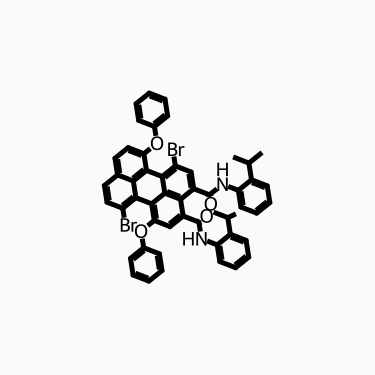 CC(C)c1ccccc1NC(=O)c1cc(Br)c2c3c(Oc4ccccc4)ccc4ccc(Br)c(c5c(Oc6ccccc6)cc(C(=O)Nc6ccccc6C(C)C)c1c25)c43